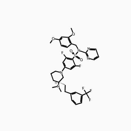 COc1ccc(CN(c2ncccn2)S(=O)(=O)c2c(F)cc(N3CCC[C@](CCc4cccc(C(F)(F)F)c4)(N(C)C)C3)cc2F)c(OC)c1